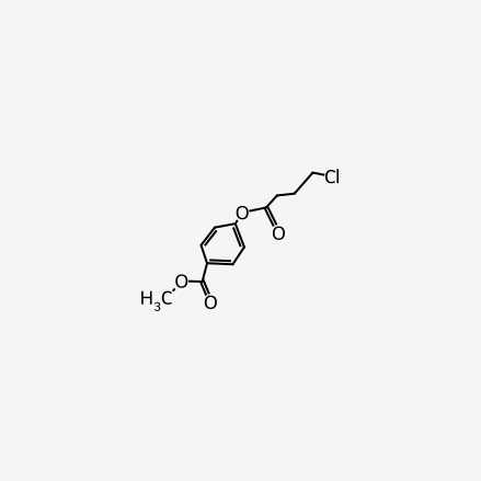 COC(=O)c1ccc(OC(=O)CCCCl)cc1